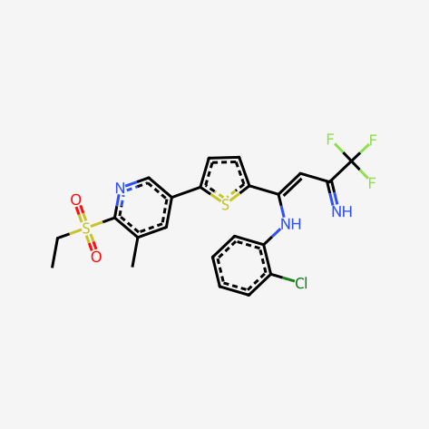 CCS(=O)(=O)c1ncc(-c2ccc(/C(=C/C(=N)C(F)(F)F)Nc3ccccc3Cl)s2)cc1C